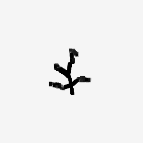 CCCCOC(=O)C(C)(CCCC)CCCC